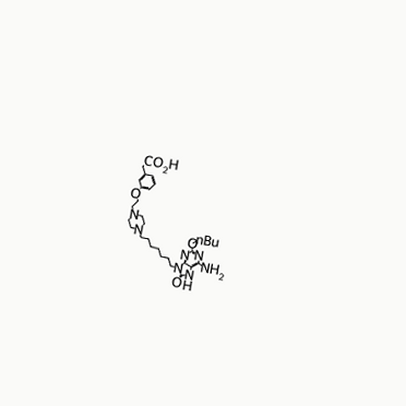 CCCCOc1nc(N)c2[nH]c(=O)n(CCCCCCCN3CCN(CCOc4cccc(CC(=O)O)c4)CC3)c2n1